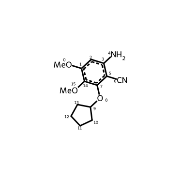 COc1cc(N)c(C#N)c(OC2CCCC2)c1OC